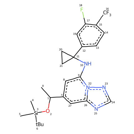 CC(O[Si](C)(C)C(C)(C)C)c1cc(NC2(c3ccc(C(F)(F)F)c(F)c3)CC2)n2ncnc2c1